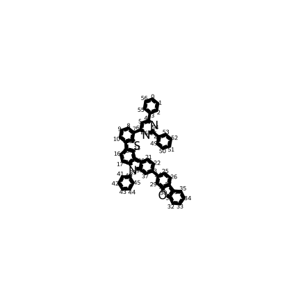 c1ccc(-c2cc(-c3cccc4c3sc3c4ccc4c3c3ccc(-c5ccc6c(c5)oc5ccccc56)cc3n4-c3ccccc3)nc(-c3ccccc3)n2)cc1